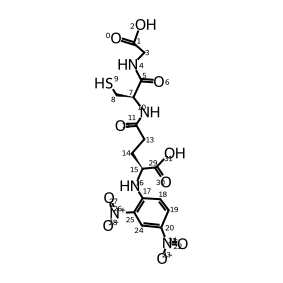 O=C(O)CNC(=O)[C@H](CS)NC(=O)CC[C@H](Nc1ccc([N+](=O)[O-])cc1[N+](=O)[O-])C(=O)O